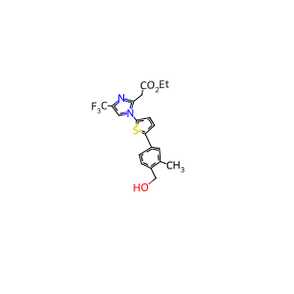 CCOC(=O)Cc1nc(C(F)(F)F)cn1-c1ccc(-c2ccc(CO)c(C)c2)s1